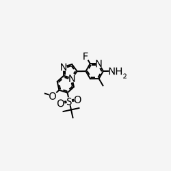 COc1cc2ncc(-c3cc(C)c(N)nc3F)n2cc1S(=O)(=O)C(C)(C)C